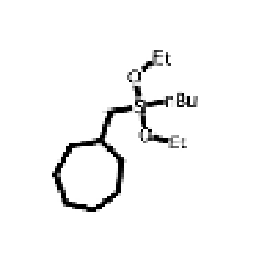 CCCC[Si]([CH]C1CCCCCC1)(OCC)OCC